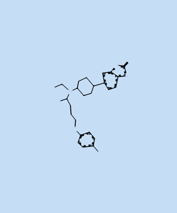 CCN(C(C)CCCSc1ccc(F)cc1)C1CCC(c2ccc3[nH]c(=O)oc3c2)CC1